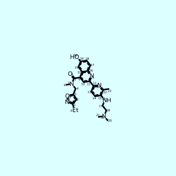 CCc1cc(CN(C)C(=O)c2cc(-c3ccc(NCCN(C)C)c(C)n3)nc3ccc(O)cc23)on1